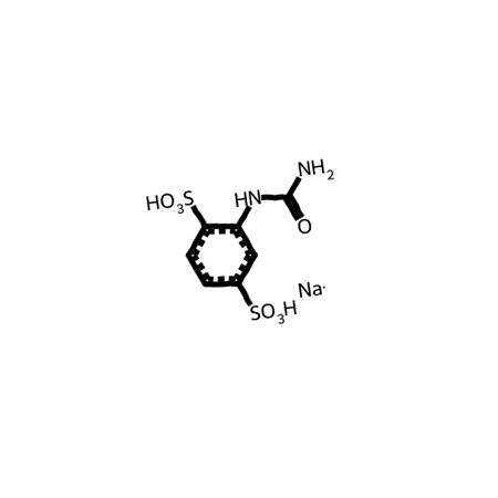 NC(=O)Nc1cc(S(=O)(=O)O)ccc1S(=O)(=O)O.[Na]